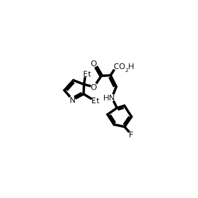 CCC1=NC=CC1(CC)OC(=O)C(=CNc1ccc(F)cc1)C(=O)O